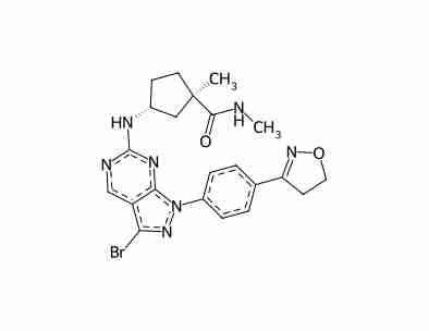 CNC(=O)[C@]1(C)CC[C@@H](Nc2ncc3c(Br)nn(-c4ccc(C5=NOCC5)cc4)c3n2)C1